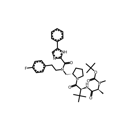 C[C@@H](C(=O)N[C@H](C(=O)N1CCC[C@H]1CN(CCc1ccc(F)cc1)C(=O)c1ncc(-c2ccccc2)[nH]1)C(C)(C)C)N(C)C(=O)OC(C)(C)C